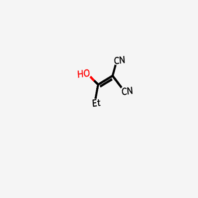 CCC(O)=C(C#N)C#N